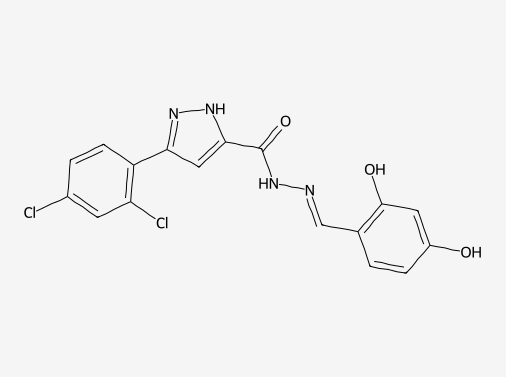 O=C(NN=Cc1ccc(O)cc1O)c1cc(-c2ccc(Cl)cc2Cl)n[nH]1